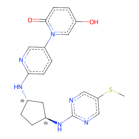 CSc1cnc(N[C@H]2CC[C@H](Nc3ccc(-n4cc(O)ccc4=O)cn3)C2)nc1